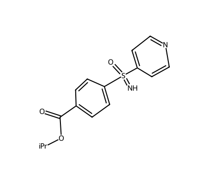 CC(C)OC(=O)c1ccc(S(=N)(=O)c2ccncc2)cc1